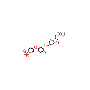 CS(=O)(=O)c1ccc(Oc2ccc(F)c3c2CC[C@H]3Oc2ccc3c(c2)OCC3CC(=O)O)cc1